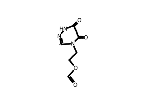 O=COCCn1[c]n[nH]c(=O)c1=O